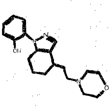 Oc1ccccc1-n1ncc2c1CCCC2CCN1CCOCC1